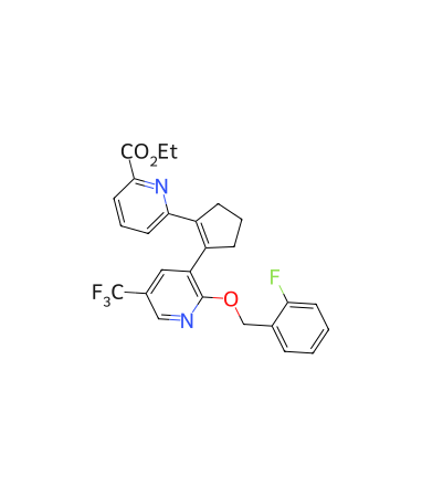 CCOC(=O)c1cccc(C2=C(c3cc(C(F)(F)F)cnc3OCc3ccccc3F)CCC2)n1